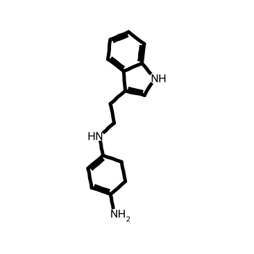 NC1=CC=C(NCCc2c[nH]c3ccccc23)CC1